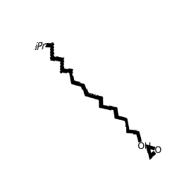 C1CO1.CC(C)CCCCCCCCCCCCCCCO